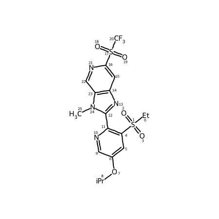 CCS(=O)(=O)c1cc(OC(C)C)cnc1-c1nc2cc(S(=O)(=O)C(F)(F)F)ncc2n1C